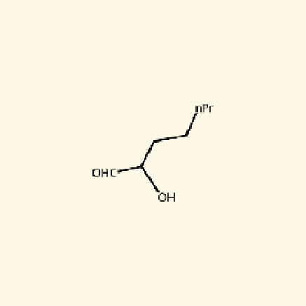 CCCCCC(O)C=O